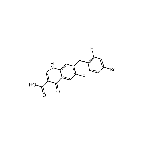 O=C(O)c1c[nH]c2cc(Cc3ccc(Br)cc3F)c(F)cc2c1=O